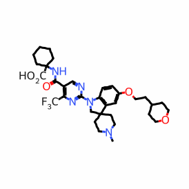 CN1CCC2(CC1)CN(c1ncc(C(=O)NC3(C(=O)O)CCCCC3)c(C(F)(F)F)n1)c1ccc(OCCC3CCOCC3)cc12